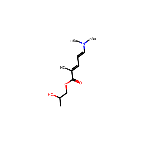 CCCCN(/C=C/C=C(\C#N)C(=O)OCC(C)O)CCCC